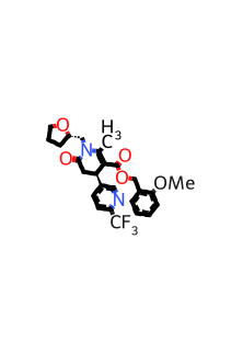 COc1ccccc1COC(=O)C1=C(C)N(C[C@@H]2CCCO2)C(=O)C[C@@H]1c1ccc(C(F)(F)F)nc1